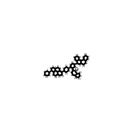 c1ccc(-c2ccc3ccc4c(-c5ccc(-c6ccc(-c7cc8ccc9ccccc9c8c8ccccc78)c7oc8c9ccccc9ccc8c67)cc5)ccc5ccc2c3c54)cc1